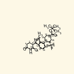 Cn1nc(C2CCC(=O)NC2=O)c2cccc(N3CCN(C(=O)OC(C)(C)C)C[C@@H]3C(F)(F)F)c21